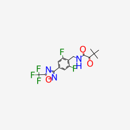 CC(C)(C)C(=O)C(=O)NCc1c(F)cc(-c2noc(C(F)(F)F)n2)cc1F